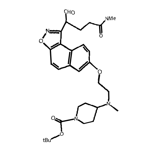 CNC(=O)CCC(C=O)c1noc2ccc3cc(OCCN(C)C4CCN(C(=O)OC(C)(C)C)CC4)ccc3c12